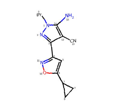 CC(C)n1nc(-c2cc(C3CC3)on2)c(C#N)c1N